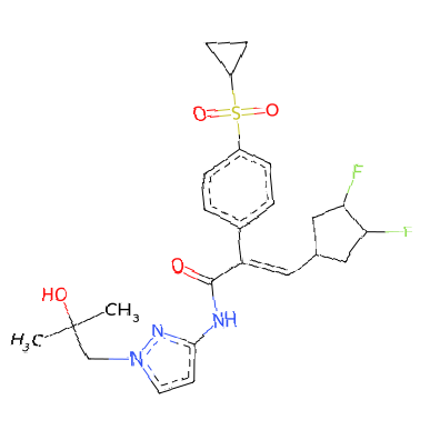 CC(C)(O)Cn1ccc(NC(=O)/C(=C/C2CC(F)C(F)C2)c2ccc(S(=O)(=O)C3CC3)cc2)n1